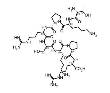 C[C@H](O)[C@@H](N)C(=O)N[C@@H](CCCCN)C(=O)N1CCC[C@H]1C(=O)N[C@H](CCCNC(=N)N)C(=O)N[C@@H](C(=O)N[C@@H](CCCCN)C(=O)N1CCC[C@H]1C(=O)N[C@H](CCCNC(=N)N)C(=O)O)[C@H](C)O